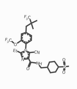 CCc1nc(C(=O)NCC2CCC(S(C)(=O)=O)CC2)c(C#N)n1-c1ccc(CC(C)(C)C(F)(F)F)cc1OC(F)(F)F